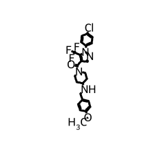 COc1ccc(CNC2CCN(C(=O)c3cnn(-c4ccc(Cl)cc4)c3C(F)(F)F)CC2)cc1